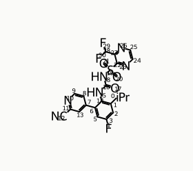 CC(C)c1cc(F)cc(-c2ccnc(C#N)c2)c1NC(=O)NS(=O)(=O)c1nccnc1C(F)F